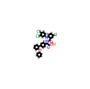 O=C(N[C@H](C(=O)O)c1ccc(-c2ccccc2Oc2ccccc2)cc1)c1cc(Cl)ccc1Nc1ccc(Cl)c(Cl)c1